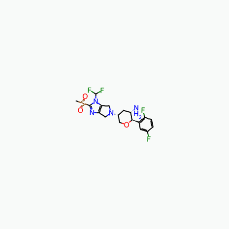 CS(=O)(=O)c1nc2c(n1C(F)F)CN([C@H]1CO[C@H](c3cc(F)ccc3F)[C@@H](N)C1)C2